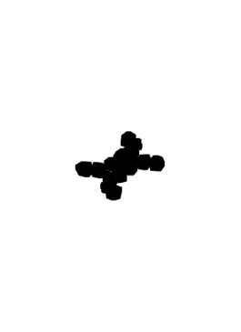 CC1(C)c2ccccc2-c2ccc(N(c3ccc(-c4ccccc4)cc3)c3cccc4c3-c3ccccc3C43c4ccccc4-c4c(N(c5ccc(-c6ccccc6)cc5)c5ccc6c(c5)C(C)(C)c5ccccc5-6)cccc43)cc21